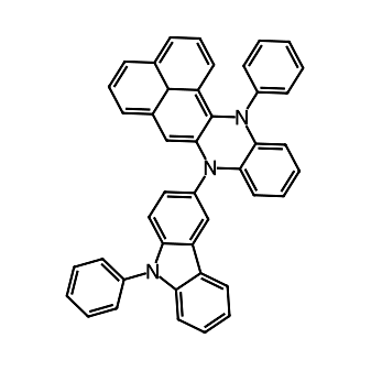 C1=CC2=CC=CC3=C4C(=CC(=C1)C23)N(c1ccc2c(c1)c1ccccc1n2-c1ccccc1)c1ccccc1N4c1ccccc1